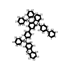 c1ccc(-c2ccc(-n3c4ccccc4c4c(N(c5ccccc5)c5ccccc5)cc(-c5ccc(N(c6ccccc6)c6ccc7c(c6)sc6ccccc67)cc5)cc43)cc2)cc1